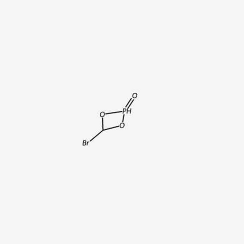 O=[PH]1OC(Br)O1